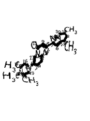 Cc1cc(C)c2cc(-c3cc(=O)n4cc(N5C[C@@H](C)N(C)[C@@H](C)C5)ccc4n3)nn2c1